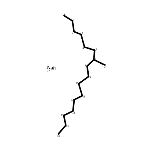 [CH2]CCCCCC(C)CCCCCCCCC.[NaH]